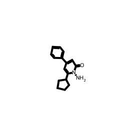 Nn1c(C2CCCC2)cc(-c2ccccc2)cc1=O